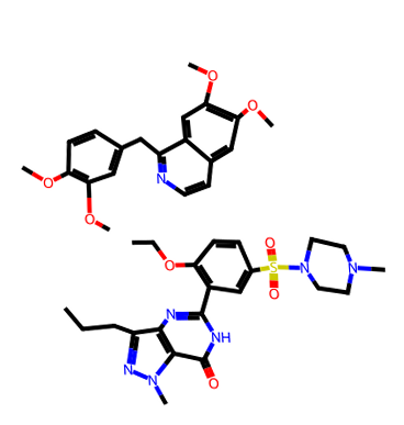 CCCc1nn(C)c2c(=O)[nH]c(-c3cc(S(=O)(=O)N4CCN(C)CC4)ccc3OCC)nc12.COc1ccc(Cc2nccc3cc(OC)c(OC)cc23)cc1OC